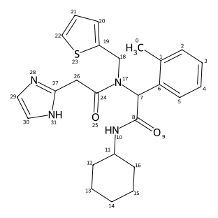 Cc1ccccc1C(C(=O)NC1CCCCC1)N(Cc1cccs1)C(=O)Cc1ncc[nH]1